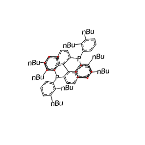 CCCCc1cccc(P(c2cccc(CCCC)c2CCCC)c2ccc3ccccc3c2-c2c(P(c3cccc(CCCC)c3CCCC)c3cccc(CCCC)c3CCCC)ccc3ccccc23)c1CCCC